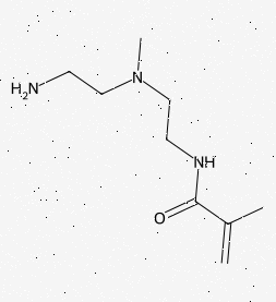 C=C(C)C(=O)NCCN(C)CCN